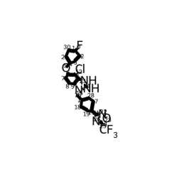 Fc1ccc(Oc2ccc3c(c2Cl)NNN3Cc2ccc(-c3noc(C(F)(F)F)n3)cc2)cc1